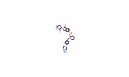 NN1CCN(c2ccc(CN3CCCC[C@@H]3COc3ccc4c(c3)CN(C3CCC(=O)NC3=O)C4=O)cc2)CC1